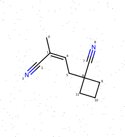 CC(C#N)=CCC1(C#N)CCC1